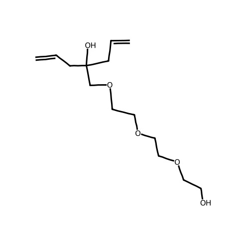 C=CCC(O)(CC=C)COCCOCCOCCO